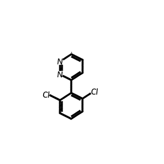 Clc1cccc(Cl)c1-c1cc[c]nn1